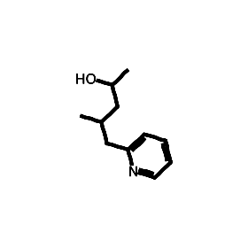 CC(O)CC(C)Cc1ccccn1